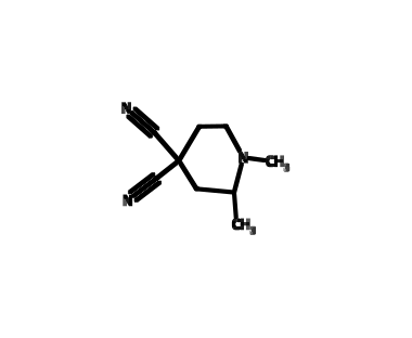 CC1CC(C#N)(C#N)CCN1C